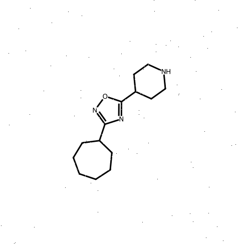 C1CCCC(c2noc(C3CCNCC3)n2)CC1